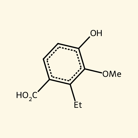 CCc1c(C(=O)O)ccc(O)c1OC